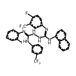 Fc1ccc(N=C(NNC(=Nc2ccccc2I)Nc2cccc(C(F)(F)F)c2)Nc2cccc3ccccc23)cc1C(F)(F)F